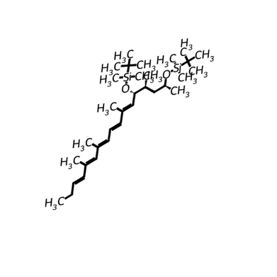 CC/C=C/C(C)=C/C(C)=C/C=C/C(C)=C/[C@H](O[Si](C)(C)C(C)(C)C)[C@@H](C)C[C@H](C)O[Si](C)(C)C(C)(C)C